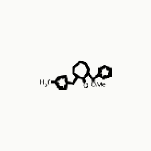 COC(c1ccccc1)C1CCCCCC(Cc2ccc(C)cc2)C1=O